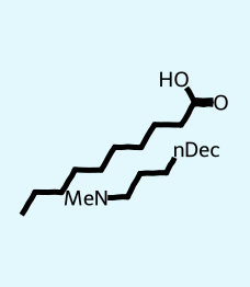 CCCCCCCCCC(=O)O.CCCCCCCCCCCCCNC